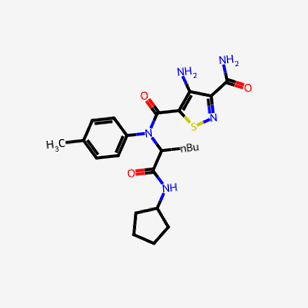 CCCCC(C(=O)NC1CCCC1)N(C(=O)c1snc(C(N)=O)c1N)c1ccc(C)cc1